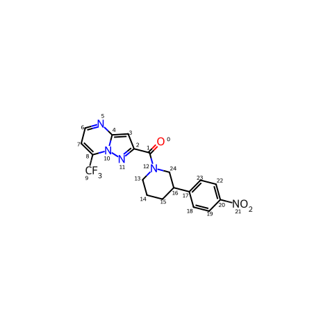 O=C(c1cc2nccc(C(F)(F)F)n2n1)N1CCCC(c2ccc([N+](=O)[O-])cc2)C1